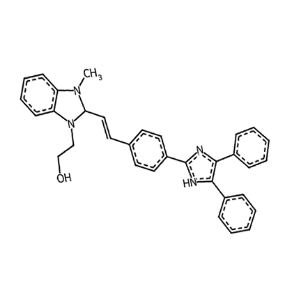 CN1c2ccccc2N(CCO)C1/C=C/c1ccc(-c2nc(-c3ccccc3)c(-c3ccccc3)[nH]2)cc1